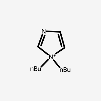 CCCC[N+]1(CCCC)C=CN=C1